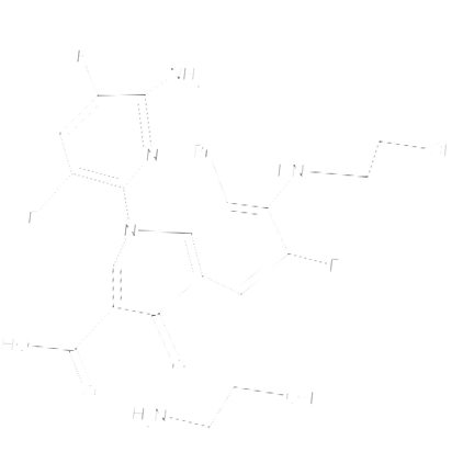 NCCO.Nc1nc(-n2cc(C(=O)O)c(=O)c3cc(F)c(NCCO)c(Br)c32)c(F)cc1F